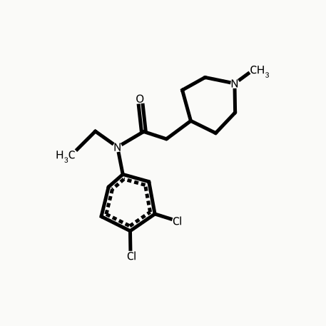 CCN(C(=O)CC1CCN(C)CC1)c1ccc(Cl)c(Cl)c1